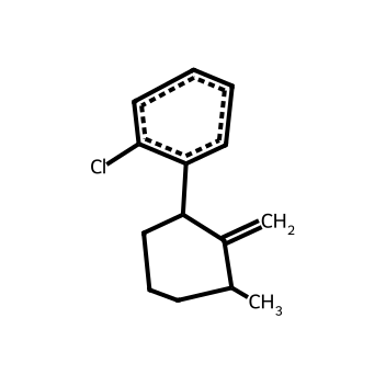 C=C1C(C)CCCC1c1ccccc1Cl